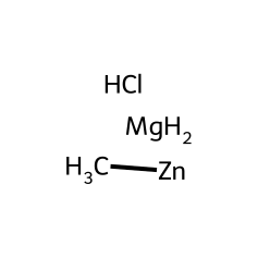 Cl.[CH3][Zn].[MgH2]